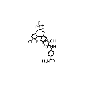 C[C@@H](C(=O)Nc1ccc(C(N)=O)cc1)n1cc2c(cc1=O)-c1c(ccc(Cl)c1F)CC(C(F)(F)F)OC2